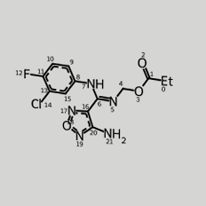 CCC(=O)OC/N=C(\Nc1ccc(F)c(Cl)c1)c1nonc1N